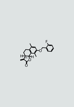 C=C1C(=O)O[C@H]2c3c(C)c(OCc4ccccc4F)cc(C)c3CC[C@@H]12